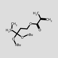 C=C(C)C(=O)OCCC(OCCCC)(OCCCC)[SiH2]C